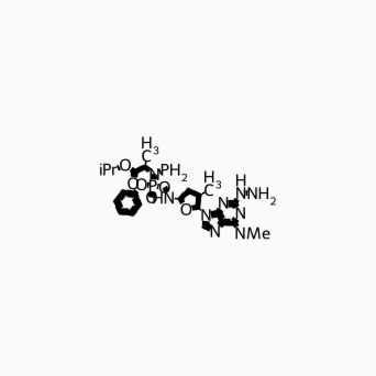 CNc1nc(NN)nc2c1ncn2[C@@H]1O[C@H](NOP(=O)(Oc2ccccc2)N(P)[C@@H](C)C(=O)OC(C)C)C[C@@H]1C